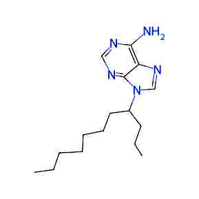 CCCCCCCC(CCC)n1cnc2c(N)ncnc21